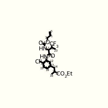 C=CCOC(=O)NC(C(=O)Nc1cc(CC(C)C(=O)OCC)ccc1Cl)C(C)C(F)(F)F